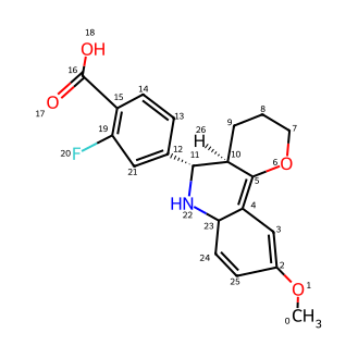 COC1=CC2=C3OCCC[C@@H]3[C@@H](c3ccc(C(=O)O)c(F)c3)NC2C=C1